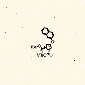 COC(=O)[C@@H]1C[C@H](Oc2ccc3ccccc3c2)CN1C(=O)OC(C)(C)C